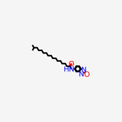 CC(C)CCCCCCCCCCCCCCC(=O)Nc1ccc2c(c1)=NC(=O)N=2